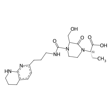 CC[C@@H](C(=O)O)N1CCN(C(=O)NCCCc2ccc3c(n2)NCCC3)C(CO)C1=O